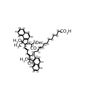 CCCCCCCCCCC(C(=O)O)[N+]1=C(/C=C/C=C2\N(CCCCCCCCCCCC(=O)O)c3ccc4ccccc4c3C2(C)C)C(C)(C)c2c1ccc1ccccc21